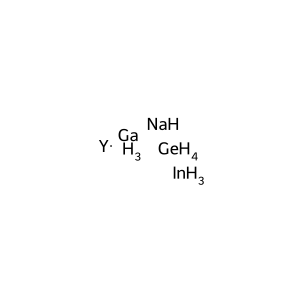 [GaH3].[GeH4].[InH3].[NaH].[Y]